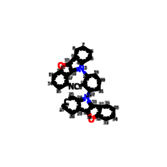 N#Cc1c(-n2c3ccccc3c3oc4ccccc4c32)cccc1-n1c2ccccc2c2oc3ccccc3c21